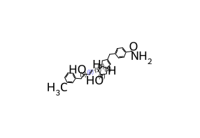 Cc1cccc(C[C@H](O)/C=C/[C@@H]2[C@H]3CC(Cc4ccc(C(N)=O)cc4)=C[C@H]3C[C@H]2O)c1